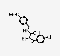 CCC(Oc1ccc(Cl)cc1)C(O)NCc1ccc(OC)cc1